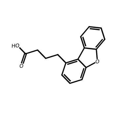 O=C(O)CCCc1cccc2oc3ccccc3c12